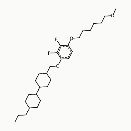 CCCC1CCC(C2CCC(COc3ccc(OCCCCCCOC)c(F)c3F)CC2)CC1